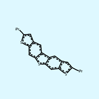 CC(C)c1cc2cc3c(cc2s1)sc1cc2sc(C(C)C)cc2cc13